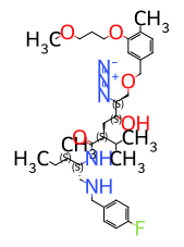 CC[C@H](C)[C@@H](CNCc1ccc(F)cc1)NC(=O)[C@@H](C[C@H](O)[C@H](COCc1ccc(C)c(OCCCOC)c1)N=[N+]=[N-])C(C)C